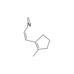 C=N/C=C\C1=C(C)CCC1